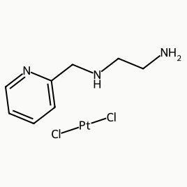 NCCNCc1ccccn1.[Cl][Pt][Cl]